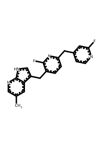 Cc1cnc2[nH]cc(Cc3ccc([CH]c4ccnc(F)c4)nc3F)c2c1